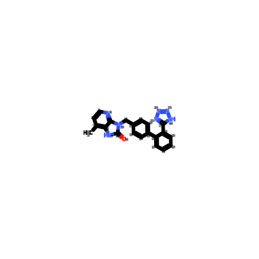 Cc1ccnc2c1[nH]c(=O)n2Cc1ccc(-c2ccccc2-c2nnn[nH]2)cc1